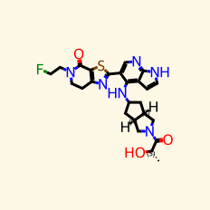 C[C@H](O)C(=O)N1C[C@H]2CC(Nc3c(-c4nc5c(s4)C(=O)N(CCF)CC5)cnc4[nH]ccc34)C[C@H]2C1